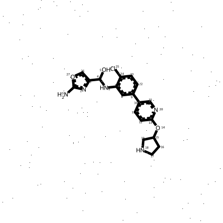 Nc1nc(C(O)Nc2cc(-c3ccc(OC4CCNC4)nc3)ccc2Cl)co1